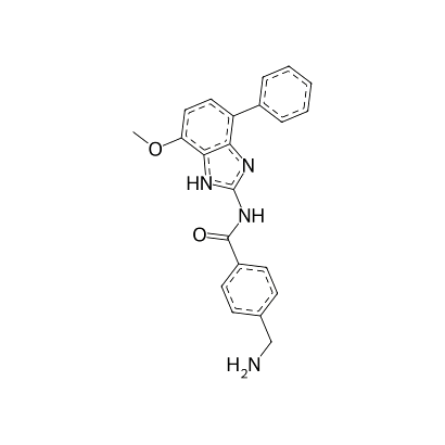 COc1ccc(-c2ccccc2)c2nc(NC(=O)c3ccc(CN)cc3)[nH]c12